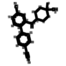 CC1(O)CCC(Nc2cc(Cl)ncc2-c2ccc(C#N)cn2)CC1